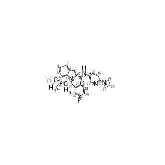 C[Si](C)(C)c1cccc2cc(C(=O)Nc3ccc(N4CCC4)nc3)n(Cc3cccc(F)c3)c12